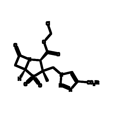 CCOC(=O)c1cn(C[C@@]2(C)[C@H](C(=O)OCCl)N3C(=O)C[C@@H]3S2(=O)=O)nn1